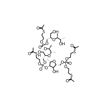 CC(=O)SCCOP(=O)(OCCSC(C)=O)OC[C@H]1O[C@@H](C)[C@@H](O[P@@](=O)(OCCSC(C)=O)OC[C@H](CO)O[C@@H](C)[C@H](C)O[P@@](=O)(OCCSC(C)=O)OC[C@H](CO)O[C@@H](C)[C@H](C)O)C1O